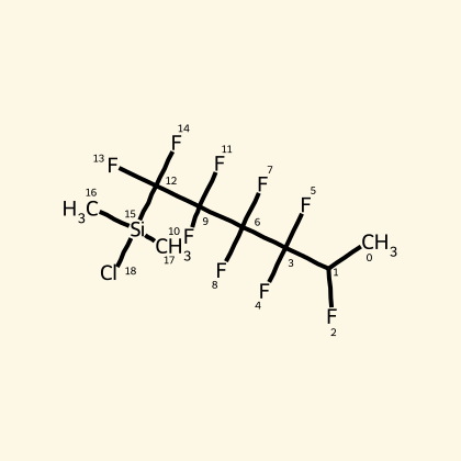 CC(F)C(F)(F)C(F)(F)C(F)(F)C(F)(F)[Si](C)(C)Cl